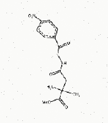 COC(=O)C(C)(C)CC(=O)NCC(=O)c1ccc([N+](=O)[O-])cc1